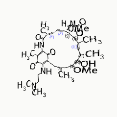 CO[C@H]1/C=C\C=C(/C)C(=O)NC2=C(C)C(=O)C(NCCN(C)C)=C(C[C@@H](C)C[C@H](OC)[C@H](O)[C@@H](C)/C=C(\C)[C@@H]1OC(N)=O)C2=O